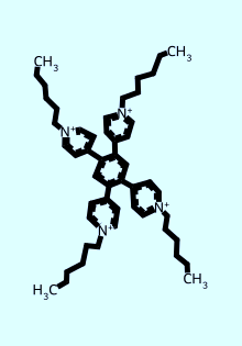 CCCCCC[n+]1ccc(-c2cc(-c3cc[n+](CCCCCC)cc3)c(-c3cc[n+](CCCCCC)cc3)cc2-c2cc[n+](CCCCCC)cc2)cc1